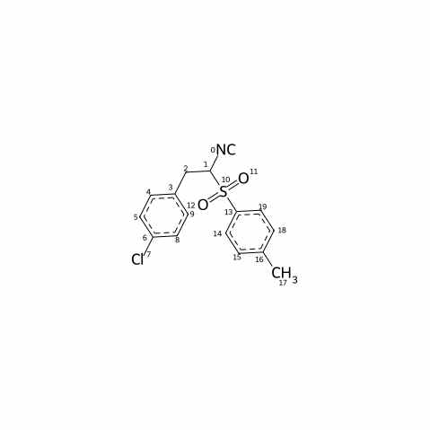 [C-]#[N+]C(Cc1ccc(Cl)cc1)S(=O)(=O)c1ccc(C)cc1